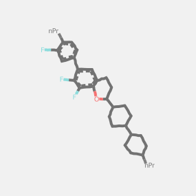 CCCc1ccc(-c2cc3c(c(F)c2F)OC(C2CCC(C4CCC(CCC)CC4)CC2)CC3)cc1F